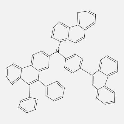 c1ccc(-c2c(-c3ccccc3)c3cc(N(c4ccc(-c5cc6ccccc6c6ccccc56)cc4)c4cccc5c4ccc4ccccc45)ccc3c3ccccc23)cc1